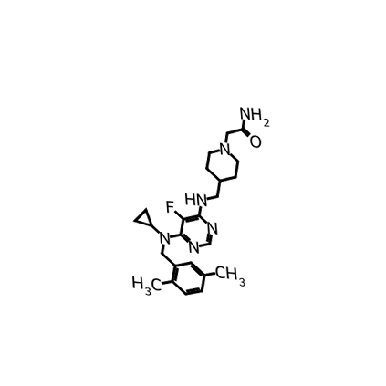 Cc1ccc(C)c(CN(c2ncnc(NCC3CCN(CC(N)=O)CC3)c2F)C2CC2)c1